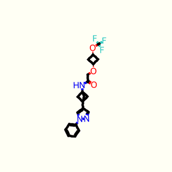 O=C(CO[C@H]1C[C@@H](OC(F)(F)F)C1)NC12CC(c3cnn(-c4ccccc4)c3)(C1)C2